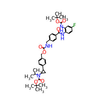 CC(C)N(C(=O)OC(C)(C)C)C1CC1c1ccc(COC(=O)NCc2ccc(C(=O)Nc3ccc(F)cc3NC(=O)OC(C)(C)C)cc2)cc1